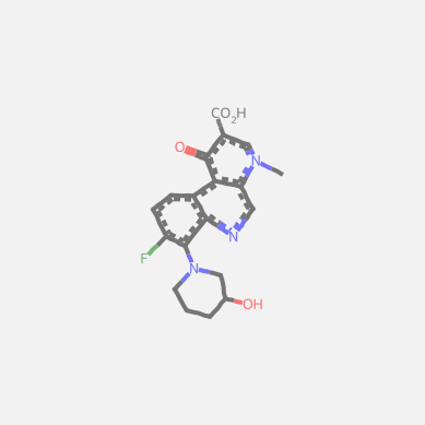 Cn1cc(C(=O)O)c(=O)c2c3ccc(F)c(N4CCCC(O)C4)c3ncc21